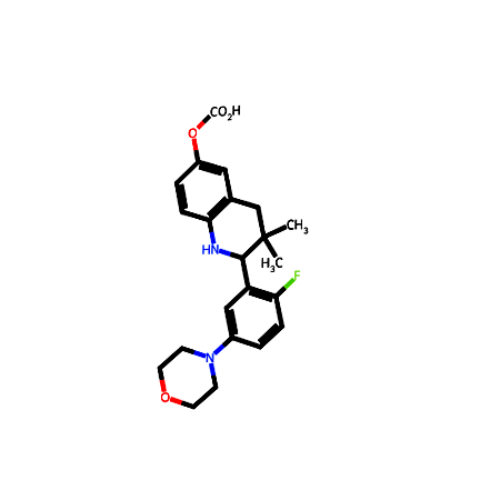 CC1(C)Cc2cc(OC(=O)O)ccc2NC1c1cc(N2CCOCC2)ccc1F